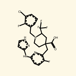 O=C(O)C1(Cc2nc(Nc3cc[nH]n3)ccc2F)CCN(Cc2cccc(Cl)c2F)C(C(F)(F)F)C1